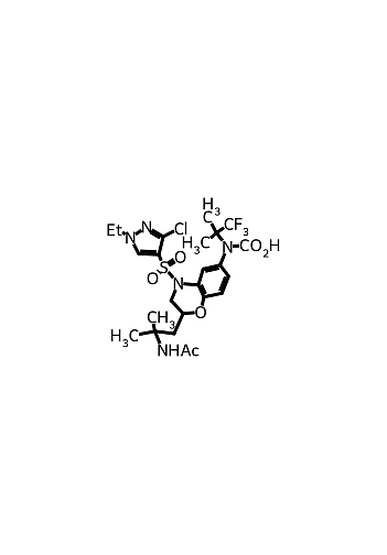 CCn1cc(S(=O)(=O)N2CC(CC(C)(C)NC(C)=O)Oc3ccc(N(C(=O)O)C(C)(C)C(F)(F)F)cc32)c(Cl)n1